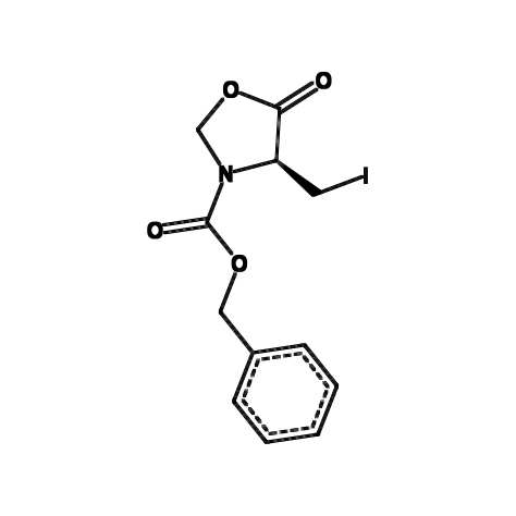 O=C1OCN(C(=O)OCc2ccccc2)[C@@H]1CI